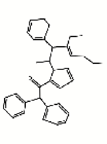 CCC/C=C(\CC)C(C1=CC=CCC1)C(I)C1C=CC=C1C(=O)C(c1ccccc1)c1ccccc1